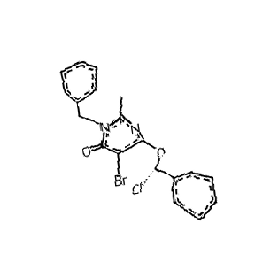 Cc1nc(O[C@@H](Cl)c2ccccc2)c(Br)c(=O)n1Cc1ccccc1